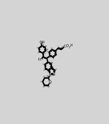 CC/C(=C(/c1ccc(/C=C/C(=O)O)cc1)c1ccc2c(cnn2C2CCCCO2)c1)c1ccc(O)cc1